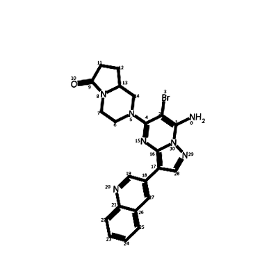 Nc1c(Br)c(N2CCN3C(=O)CCC3C2)nc2c(-c3cnc4ccccc4c3)cnn12